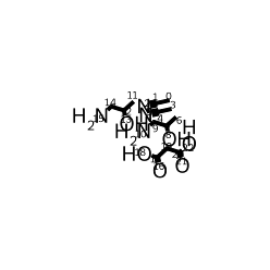 CC#N.CC#N.CC(O)CN.CC(O)CN.O=C(O)CC(=O)O